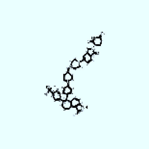 O=C1CC[C@H](N2Cc3cc(N4CCN(CC5CCN(c6ccc(C7=C(c8ccc(C(F)(F)F)cc8)CCCc8c7ccc7[nH]nc(F)c87)cc6)CC5)CC4)ccc3C2=O)C(=O)N1